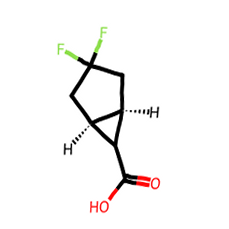 O=C(O)C1[C@H]2CC(F)(F)C[C@@H]12